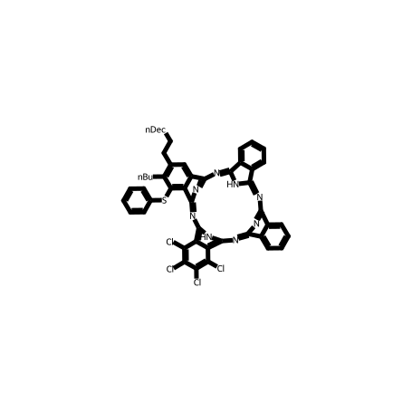 CCCCCCCCCCCCc1cc2c(c(Sc3ccccc3)c1CCCC)-c1nc-2nc2[nH]c(nc3nc(nc4[nH]c(n1)c1c(Cl)c(Cl)c(Cl)c(Cl)c41)-c1ccccc1-3)c1ccccc21